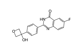 O=c1[nH]c(-c2ccc(C3(O)COC3)cc2)nc2ccc(F)cc12